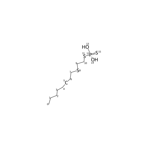 CCCCCCCCSCCSP(O)(O)=S